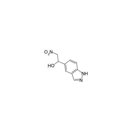 O=[N+]([O-])CC(O)c1ccc2[nH]ncc2c1